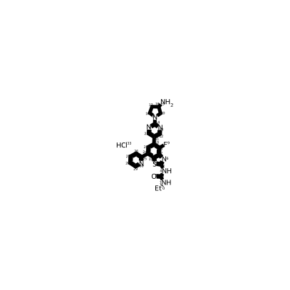 CCNC(=O)Nc1nc2c(F)c(-c3cnc(N4CCC(N)C4)nc3)cc(-c3ccccn3)c2s1.Cl